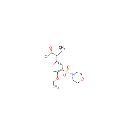 CCOc1ccc(C(CC)C(=O)Cl)cc1S(=O)(=O)N1CCOCC1